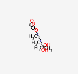 C/C(=C\COc1ccc2ccc(=O)oc2c1)CC/C=C(\C)CCC(O)C(C)(C)O